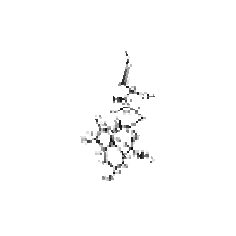 CC#CC(=O)N[C@H]1CCCN(n2c(C)c(C)c3cc(F)cc(C(N)=O)c32)C1